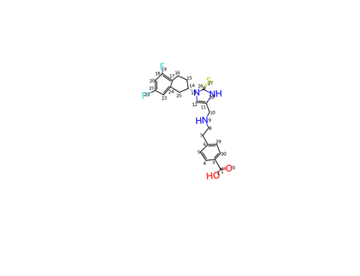 O=C(O)c1ccc(CCNCc2cn([C@H]3CCc4c(F)cc(F)cc4C3)c(=S)[nH]2)cc1